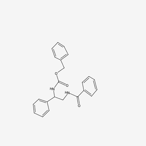 O=C(NC(CNC(=O)c1ccccc1)c1ccccc1)OCc1ccccc1